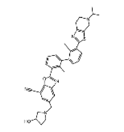 Cc1c(-c2nc3cc(CN4CCC(O)C4)cc(C#N)c3o2)cccc1-c1cccc(-c2nc3c(s2)CN(C(C)C)CC3)c1C